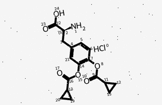 Cl.N[C@@H](Cc1ccc(OC(=O)C2CC2)c(OC(=O)C2CC2)c1)C(=O)O